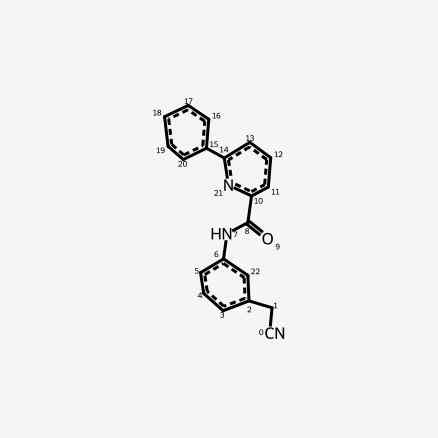 N#CCc1cccc(NC(=O)c2cccc(-c3ccccc3)n2)c1